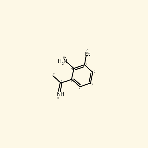 CCc1cccc(C(C)=N)c1N